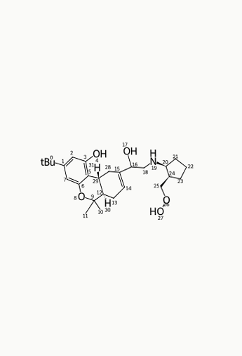 CC(C)(C)c1cc(O)c2c(c1)OC(C)(C)[C@@H]1CC=C(C(O)CN[C@H]3CCC[C@H]3COO)C[C@@H]21